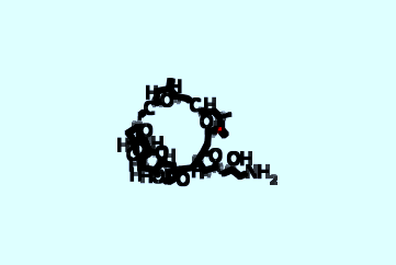 C=C1C[C@@H]2CC[C@@]34C[C@H]5O[C@H]6[C@@H](O3)[C@H]3OC(CC[C@@H]3O[C@H]6[C@H]5O4)CC(=O)C[C@H]3C(C[C@H]4O[C@@H](CC[C@@H]1O2)C[C@@H](C)C4=C)O[C@H](C[C@H](O)CN)[C@@H]3C